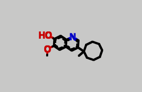 COc1cc2cc(C3(C)CCCCCCC3)cnc2cc1O